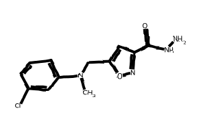 CN(Cc1cc(C(=O)NN)no1)c1cccc(Cl)c1